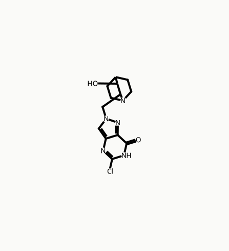 O=c1[nH]c(Cl)nc2cn(CC3C(O)C4CCN3CC4)nc12